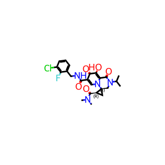 CC(C)N1C[C@]2(C[C@H]2C(=O)N(C)C)n2cc(C(=O)NCc3cccc(Cl)c3F)c(=O)c(O)c2C1=O